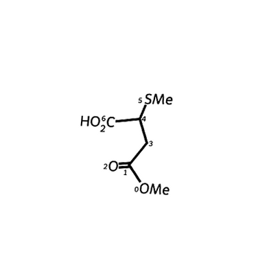 COC(=O)CC(SC)C(=O)O